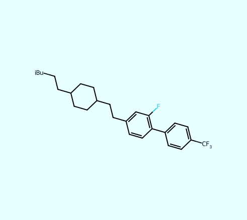 CCC(C)CCC1CCC(CCc2ccc(-c3ccc(C(F)(F)F)cc3)c(F)c2)CC1